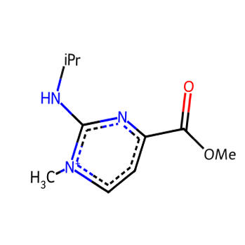 COC(=O)c1cc[n+](C)c(NC(C)C)n1